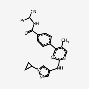 Cc1cnc(Nc2cnn(C3CC3)c2)nc1-c1ccc(C(=O)NC(C#N)C(C)C)cc1